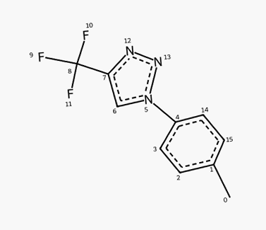 Cc1ccc(-n2cc(C(F)(F)F)nn2)cc1